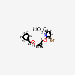 O=C(O)c1ccc(Br)c(OCC2C[C@@H]2COCc2ccccc2)n1